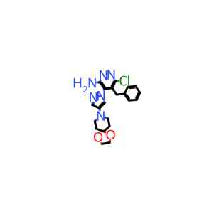 Nc1nnc(Cl)c(Cc2ccccc2)c1-n1cc(N2CCC3(CC2)OCCO3)cn1